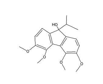 COc1ccc2c(c1OC)-c1c(ccc(OC)c1OC)C2(O)C(C)C